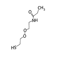 CCC(=O)NCCOOCCS